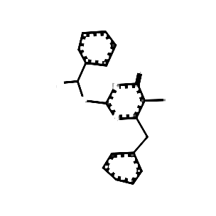 CC(Sc1nc(Cc2ccccc2)c(I)c(=O)[nH]1)c1ccccc1